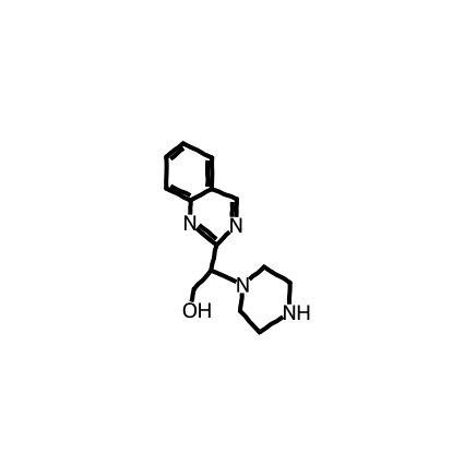 OCC(c1ncc2ccccc2n1)N1CCNCC1